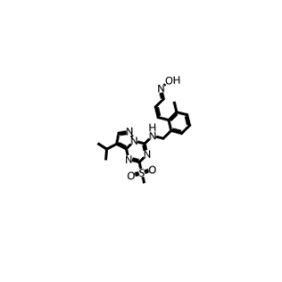 Cc1cccc(CNc2nc(S(C)(=O)=O)nc3c(C(C)C)cnn23)c1/C=C\C=N\O